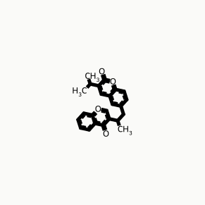 CC(C)c1cc2cc(CC(C)c3coc4ccccc4c3=O)ccc2oc1=O